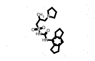 CC(CN1CCCC1)CS(=O)(=O)NC(=O)Nc1c2c(cc3c1CCC3)CCC2